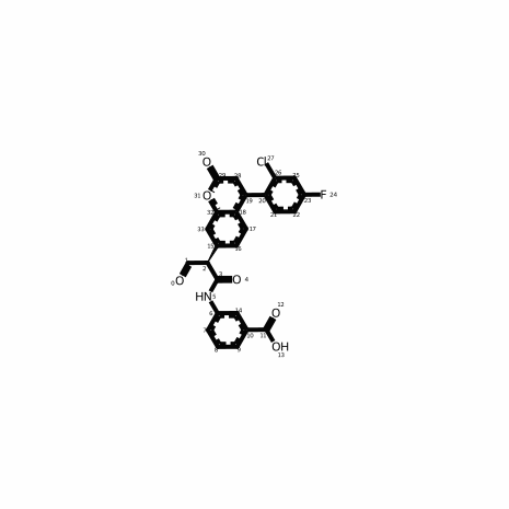 O=C[C@H](C(=O)Nc1cccc(C(=O)O)c1)c1ccc2c(-c3ccc(F)cc3Cl)cc(=O)oc2c1